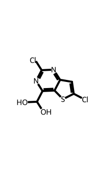 OC(O)c1nc(Cl)nc2cc(Cl)sc12